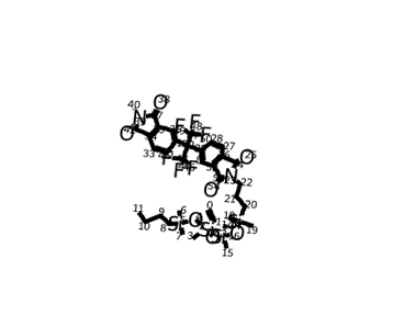 C=C[Si](C)(O[Si](C)(C)CCCC)O[Si](C)(C)O[Si](C)(C)CCCN1C(=O)c2ccc(C(c3ccc4c(c3)C(=O)N(C)C4=O)(C(F)(F)F)C(F)(F)F)cc2C1=O